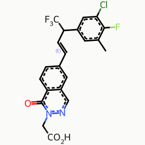 Cc1cc(C(/C=C/c2ccc3c(=O)n(CC(=O)O)ncc3c2)C(F)(F)F)cc(Cl)c1F